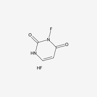 F.O=c1cc[nH]c(=O)n1F